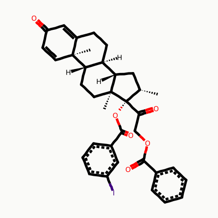 C[C@H]1C[C@H]2[C@@H]3CCC4=CC(=O)C=C[C@]4(C)[C@H]3CC[C@]2(C)[C@]1(OC(=O)c1cccc(I)c1)C(=O)COC(=O)c1ccccc1